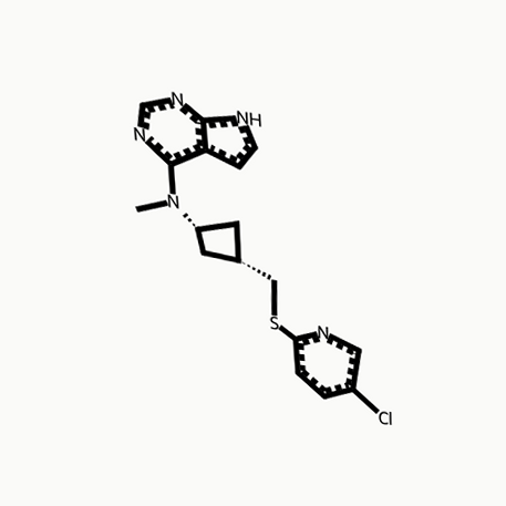 CN(c1ncnc2[nH]ccc12)[C@H]1C[C@@H](CSc2ccc(Cl)cn2)C1